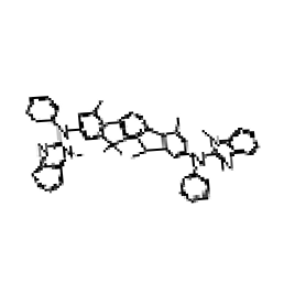 CC1=CC(N(c2ccccc2)c2nc3ccccc3n2C)=CC2C1c1ccc3c(c1C2(C)C)C(C)(C)c1cc(N(c2ccccc2)c2nc4ccccc4n2C)cc(C)c1-3